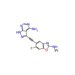 CC(C)Nc1nc2cc(C#Cc3n[nH]c4ncnc(N)c34)c(F)cc2o1